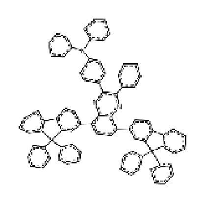 c1ccc(-c2nc3c(-c4ccc5c(c4)C(c4ccccc4)(c4ccccc4)c4ccccc4-5)ccc(-c4ccc5c(c4)C(c4ccccc4)(c4ccccc4)c4ccccc4-5)c3nc2-c2ccc(N(c3ccccc3)c3ccccc3)cc2)cc1